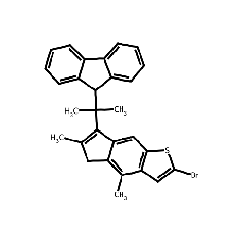 CC1=C(C(C)(C)C2c3ccccc3-c3ccccc32)c2cc3sc(Br)cc3c(C)c2C1